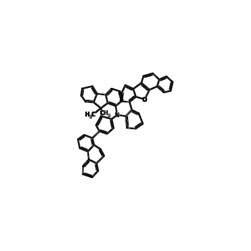 CC1(C)c2ccccc2-c2cccc(N(c3ccc(-c4cccc5c4ccc4ccccc45)cc3)c3ccccc3-c3cccc4c3oc3c5ccccc5ccc43)c21